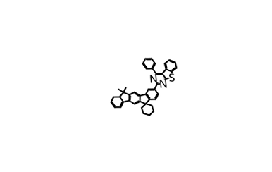 CC1(C)c2cc3c(cc2C2=CC=CCC21)C1(CCCCC1)c1ccc(-c2nc(-c4ccccc4)c4c(n2)sc2ccccc24)cc1-3